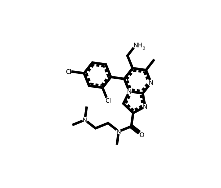 Cc1nc2nc(C(=O)N(C)CCN(C)C)cn2c(-c2ccc(Cl)cc2Cl)c1CN